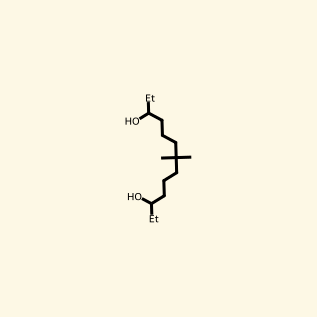 CCC(O)CCCC(C)(C)CCCC(O)CC